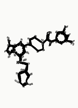 O=C(Nc1cc(F)cc(F)c1)N1CCC(c2cc(NCC3C=CC=NC3)n3ncc(Br)c3n2)CC1